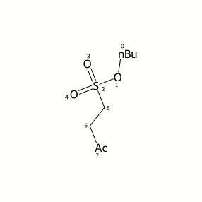 CCCCOS(=O)(=O)CCC(C)=O